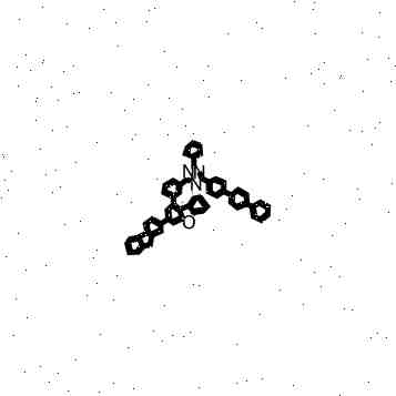 c1ccc(-c2ccc(-c3ccc(-c4nc(-c5ccccc5)nc(-c5cccc(-c6cc(-c7ccc8c(c7)Cc7ccccc7-8)cc7oc8ccccc8c67)c5)n4)cc3)cc2)cc1